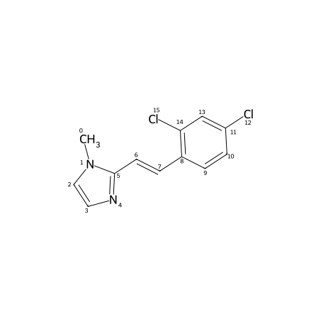 Cn1ccnc1C=Cc1ccc(Cl)cc1Cl